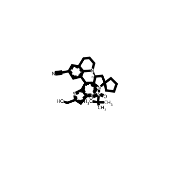 CC(C)(C)S(=O)(=O)N1C[C@@H](N2CCCc3cc(C#N)cc(-c4ccnc5cc(CO)sc45)c32)CC12CCCC2